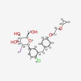 OC[C@H]1O[C@@H](c2ccc(Cl)c(Cc3ccc(OCCOC4CC4)cc3)c2)C(I)[C@@H](O)[C@@H]1O